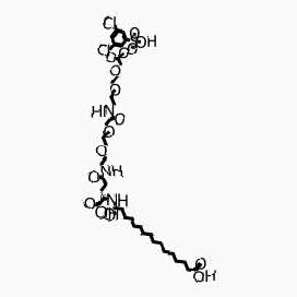 O=C(O)CCCCCCCCCCCCCCC(=O)N[C@@H](CCC(=O)NCCOCCOCC(=O)NCCOCCOCC(=O)Oc1c(Cl)cc(Cl)cc1S(=O)(=O)O)C(=O)O